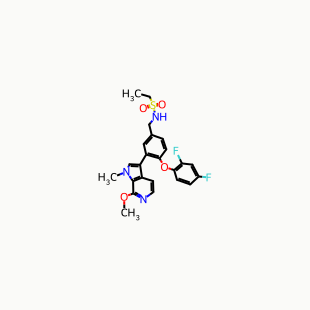 CCS(=O)(=O)NCc1ccc(Oc2ccc(F)cc2F)c(-c2cn(C)c3c(OC)nccc23)c1